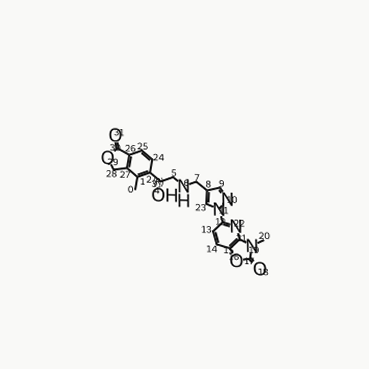 Cc1c([C@@H](O)CNCc2cnn(-c3ccc4oc(=O)n(C)c4n3)c2)ccc2c1COC2=O